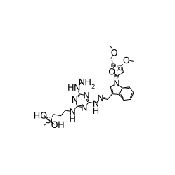 COC[C@H]1O[C@@H](n2cc(C=NNc3nc(NN)nc(NCCC[Si](C)(O)O)n3)c3ccccc32)C[C@H]1OC